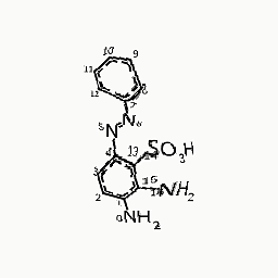 Nc1ccc(N=Nc2ccccc2)c(S(=O)(=O)O)c1N